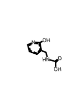 O=C(O)NCc1cccnc1O